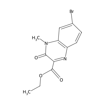 CCOC(=O)c1nc2ccc(Br)cc2n(C)c1=O